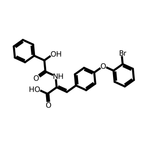 O=C(O)C(=Cc1ccc(Oc2ccccc2Br)cc1)NC(=O)C(O)c1ccccc1